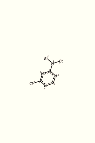 CCN(CC)c1ncnc(Cl)n1